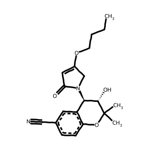 CCCCOC1=CC(=O)N([C@@H]2c3cc(C#N)ccc3OC(C)(C)[C@H]2O)C1